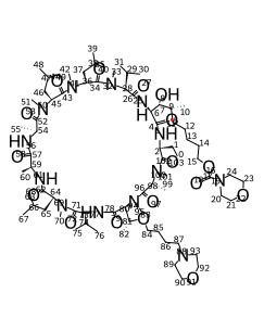 CC[C@@H]1NC(=O)[C@H]([C@H](O)[C@H](C)CCCCCOC(=O)N2CCOCC2)NC(=O)[C@H](C(C)C)N(C)C(=O)[C@H](CC(C)C)N(C)C(=O)[C@H](CC(C)C)N(C)C(=O)[C@@H](C)NC(=O)[C@H](C)NC(=O)[C@H](CC(C)C)N(C)C(=O)[C@H](C(C)C)NC(=O)[C@H]([C@@H](C)OCCCCN2CCOCC2)N(C)C(=O)[C@@H](C)N(C)C1=O